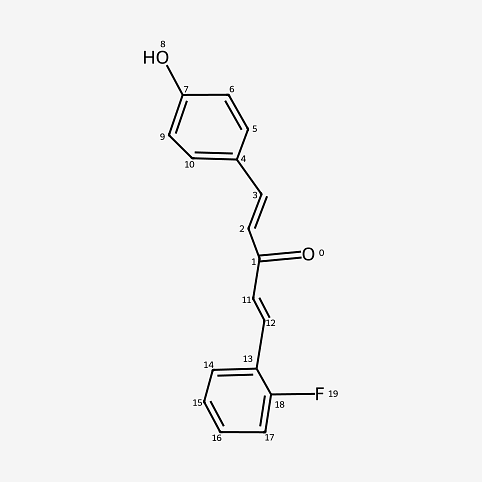 O=C(C=Cc1ccc(O)cc1)C=Cc1ccccc1F